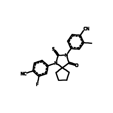 Cc1cc(N2C(=O)C3(CCCC3)N(c3ccc(C#N)c(F)c3)C2=S)ccc1C#N